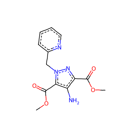 COC(=O)c1nn(Cc2ccccn2)c(C(=O)OC)c1N